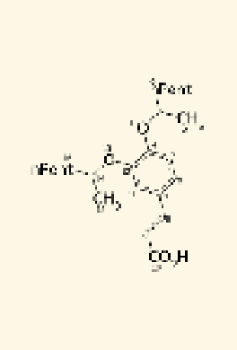 CCCCCC(C)Oc1ccc(/C=C/C(=O)O)cc1OC(C)CCCCC